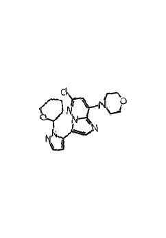 Clc1cc(N2CCOCC2)c2ncc(-c3ccnn3C3CCCCO3)n2n1